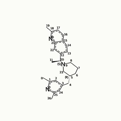 Cc1cc(C[C@H]2CCCN([C@@H](C)c3ccc4ccc(C)nc4c3)C2)cc(C)n1